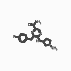 CN1CCC(Nc2ncc(C(N)=O)nc2Cc2ccc(F)cc2)C1